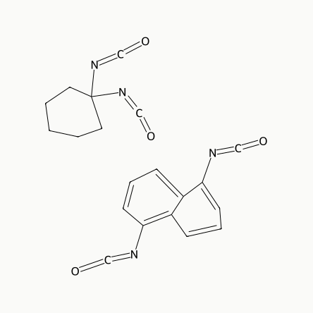 O=C=NC1(N=C=O)CCCCC1.O=C=Nc1cccc2c(N=C=O)cccc12